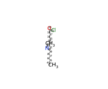 CC#N.CCCCCCCCCCCCCCCCC(=O)Cl